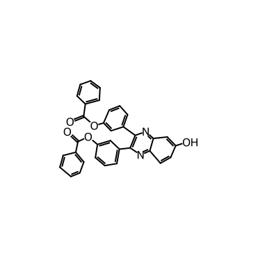 O=C(Oc1cccc(-c2nc3ccc(O)cc3nc2-c2cccc(OC(=O)c3ccccc3)c2)c1)c1ccccc1